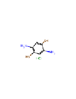 Cl.Nc1cc(S)c(N)cc1S